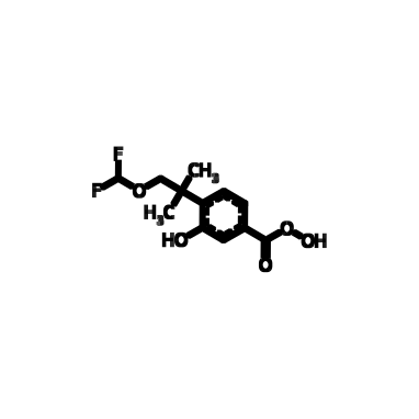 CC(C)(COC(F)F)c1ccc(C(=O)OO)cc1O